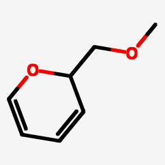 COCC1C=CC=CO1